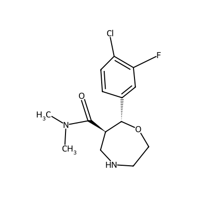 CN(C)C(=O)[C@@H]1CNCCO[C@H]1c1ccc(Cl)c(F)c1